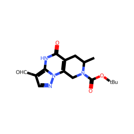 CC1Cc2c(n3ncc(C=O)c3[nH]c2=O)CN1C(=O)OC(C)(C)C